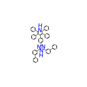 c1ccc(C2=C(c3ccccc3)C(c3ccc(C4=NC(c5cccc(-c6ccccc6)c5)NC(c5cccc(-c6ccccc6)c5)=N4)cc3)=C(c3ccccc3)C(c3ccccc3)N2)cc1